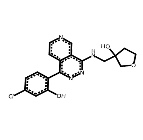 Oc1cc(Cl)ccc1-c1nnc(NCC2(O)CCOC2)c2cnccc12